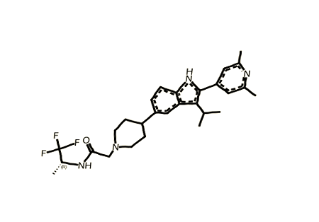 Cc1cc(-c2[nH]c3ccc(C4CCN(CC(=O)N[C@H](C)C(F)(F)F)CC4)cc3c2C(C)C)cc(C)n1